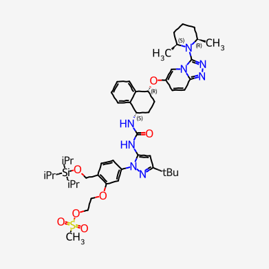 CC(C)[Si](OCc1ccc(-n2nc(C(C)(C)C)cc2NC(=O)N[C@H]2CC[C@@H](Oc3ccc4nnc(N5[C@H](C)CCC[C@@H]5C)n4c3)c3ccccc32)cc1OCCOS(C)(=O)=O)(C(C)C)C(C)C